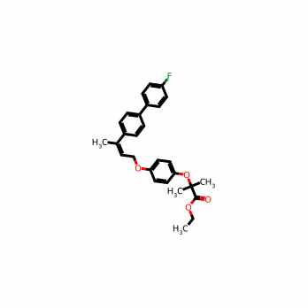 CCOC(=O)C(C)(C)Oc1ccc(OCC=C(C)c2ccc(-c3ccc(F)cc3)cc2)cc1